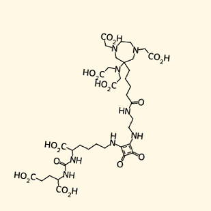 O=C(O)CCC(NC(=O)NC(CCCCNc1c(NCCNC(=O)CCCCC2(N(CC(=O)O)CC(=O)O)CN(CC(=O)O)CCN(CC(=O)O)C2)c(=O)c1=O)C(=O)O)C(=O)O